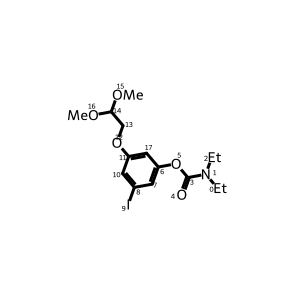 CCN(CC)C(=O)Oc1cc(I)cc(OCC(OC)OC)c1